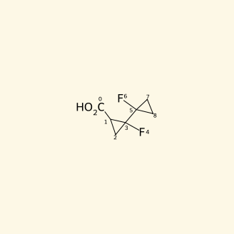 O=C(O)C1CC1(F)C1(F)CC1